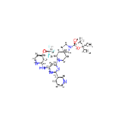 CC(C)(C)OC(=O)N1CCC2(CCN(c3cc(Nc4cc(OC(F)(F)F)ccn4)nc(-c4cccnc4)n3)CC2)C1